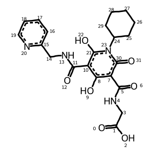 O=C(O)CNC(=O)c1c(O)c(C(=O)NCc2ccccn2)c(O)n(C2CCCCC2)c1=O